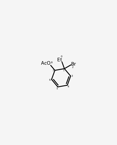 CCC1(Br)C=CC=CC1OC(C)=O